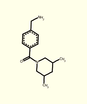 CC1CC(C)CN(C(=O)c2ccc(CN)cc2)C1